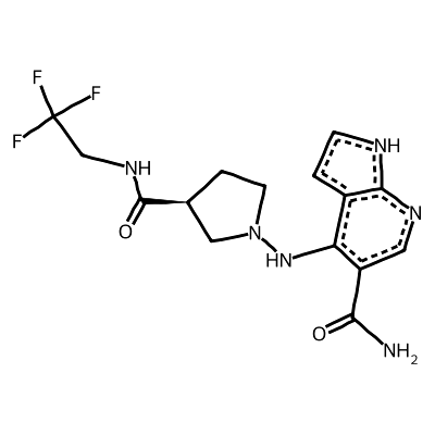 NC(=O)c1cnc2[nH]ccc2c1NN1CC[C@H](C(=O)NCC(F)(F)F)C1